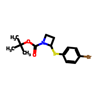 CC(C)(C)OC(=O)N1CCC1Sc1ccc(Br)cc1